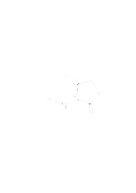 O=C=NN1C(=O)CCC1=O